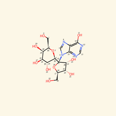 OC[C@H]1O[C@@H]([C@@]2(n3cnc4c(O)ncnc43)O[C@H](CO)[C@@H](O)[C@H]2O)[C@H](O)[C@@H](O)[C@H]1O